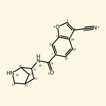 N#Cc1coc2cc(C(=O)NC3CC4CNC3C4)ccc12